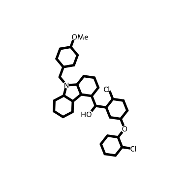 COC1CCC(CN2C3CCCCC3C3C(C(O)C4CC(OC5CCCCC5Cl)CCC4Cl)CCCC32)CC1